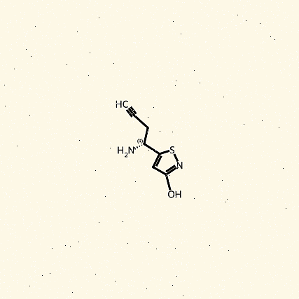 C#CC[C@@H](N)c1cc(O)ns1